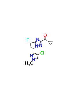 Cn1cc(Cl)c([C@@H]2C[C@H](F)c3nc(C(=O)C4CC4)nn32)n1